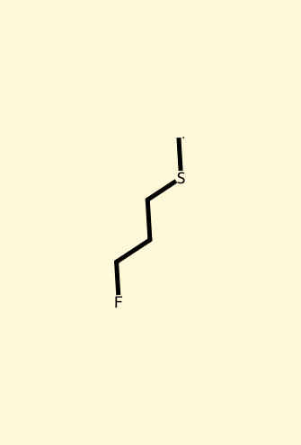 [CH2]SCCCF